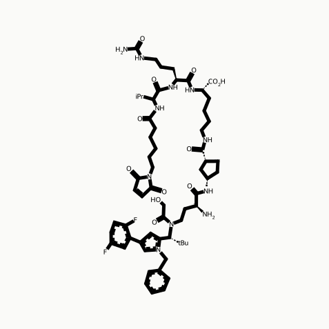 CC(C)C(NC(=O)CCCCCN1C(=O)C=CC1=O)C(=O)N[C@@H](CCCNC(N)=O)C(=O)N[C@@H](CCCCNC(=O)[C@@H]1CC[C@H](NC(=O)[C@@H](N)CCN(C(=O)CO)[C@@H](c2cc(-c3cc(F)ccc3F)cn2Cc2ccccc2)C(C)(C)C)C1)C(=O)O